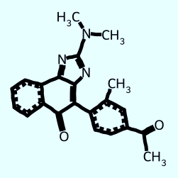 CC(=O)c1ccc(C2=C3N=C(N(C)C)N=C3c3ccccc3C2=O)c(C)c1